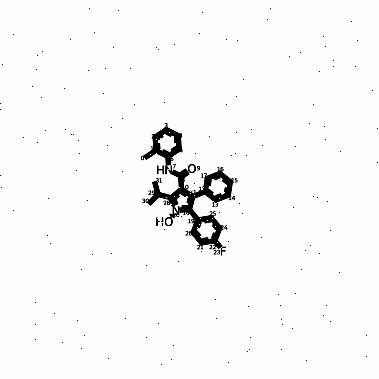 Cc1ccccc1NC(=O)c1c(-c2ccccc2)c(-c2ccc(F)cc2)n(O)c1C(C)C